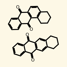 O=C1c2ccccc2C(=O)c2c1ccc1c2CCCC1.O=C1c2ccccc2C(=O)c2cc3c(cc21)CCCC3